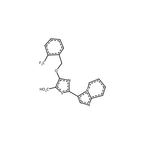 O=C(O)c1sc(-c2cnc3ccccn23)nc1OCc1ccccc1C(F)(F)F